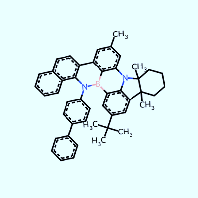 Cc1cc2c3c(c1)N1c4c(cc(C(C)(C)C)cc4C4(C)CCCCC14C)B3N(c1ccc(-c3ccccc3)cc1)c1c-2ccc2ccccc12